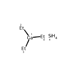 C[CH2][Ga]([CH2]C)[CH2]C.[SiH4]